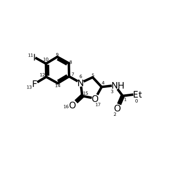 CCC(=O)NC1CN(c2ccc(I)c(F)c2)C(=O)O1